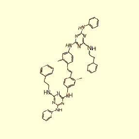 Cc1cc(Nc2nc(NCCc3ccccc3)nc(Nc3ccccc3)n2)ccc1C=Cc1ccc(Nc2nc(NCCc3ccccc3)nc(Nc3ccccc3)n2)cc1C